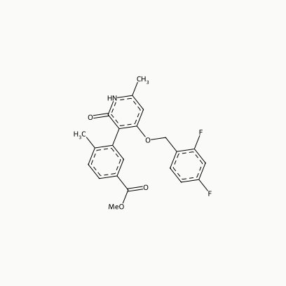 COC(=O)c1ccc(C)c(-c2c(OCc3ccc(F)cc3F)cc(C)[nH]c2=O)c1